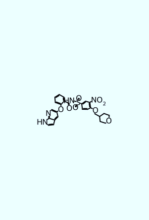 O=C(NS(=O)(=O)c1ccc(OCC2CCOCC2)c([N+](=O)[O-])c1)c1ccccc1Oc1cnc2[nH]ccc2c1